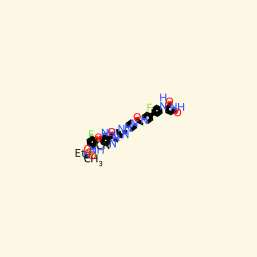 CCN(C)S(=O)(=O)Nc1ccc(F)c(Oc2ccc3ncn(-c4cnc(N5CCN(C(=O)CN6CCC(c7ccc(N[C@@H]8CCC(=O)NC8=O)cc7F)CC6)CC5)nc4)c(=O)c3c2N)c1C#N